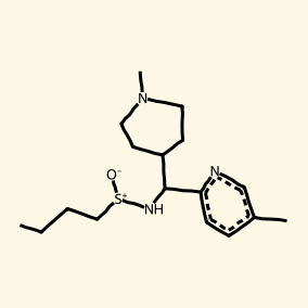 CCCC[S+]([O-])NC(c1ccc(C)cn1)C1CCN(C)CC1